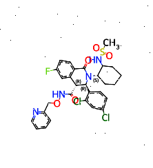 CS(=O)(=O)NC1CCCC[C@@H]1N1C(=O)c2ccc(F)cc2[C@@H](C(=O)NOCc2ccccn2)[C@@H]1c1ccc(Cl)cc1Cl